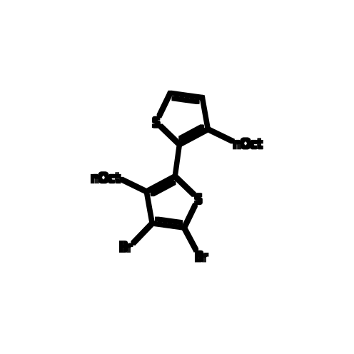 CCCCCCCCc1ccsc1-c1sc(Br)c(Br)c1CCCCCCCC